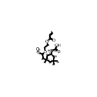 C=CC(=O)OCCOC(CC1(C)CC(NC(=O)O)CC(C)(C)C1)N=O